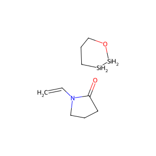 C1CO[SiH2][SiH2]C1.C=CN1CCCC1=O